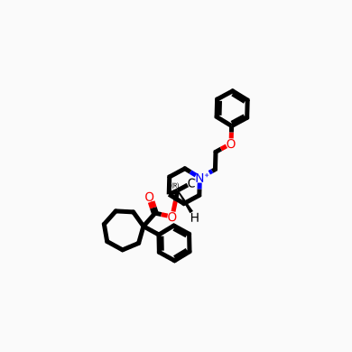 O=C(O[C@H]1C[N+]2(CCOc3ccccc3)CCC1CC2)C1(c2ccccc2)CCCCCC1